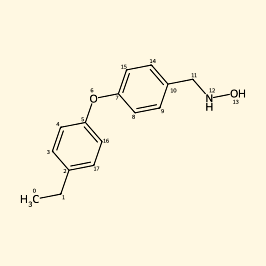 CCc1ccc(Oc2ccc(CNO)cc2)cc1